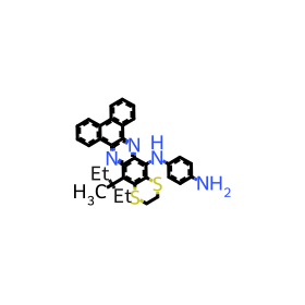 CCC(C)(CC)c1c2c(c(Nc3ccc(N)cc3)c3nc4c5ccccc5c5ccccc5c4nc13)SCCS2